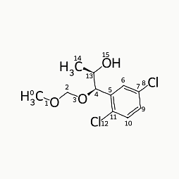 COCO[C@H](c1cc(Cl)ccc1Cl)[C@@H](C)O